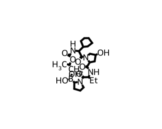 C=C(C)OC(=O)NC(C(=O)N1CC(O)CC1C(=O)NC(CC)C(=O)N1CCCC1B(O)O)C1CCCCC1